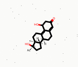 CC(=O)[C@@]1(O)CC[C@H]2[C@@H]3CCC4=CC(=O)CC(O)C4=C3CC[C@@]21C